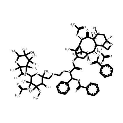 COC1(C)C(O)C(C)(COCO[C@@H](C(=O)OC2C[C@@]3(O)[C@@H](OC(=O)c4ccccc4)[C@@H]4[C@]5(OC(C)=O)CO[C@@H]5C[C@H](O)[C@@]4(C)C(=O)[C@H](OC(C)=O)C(=C2C)C3(C)C)C(NC(=O)c2ccccc2)c2ccccc2)OC(OC2(C)C(C)(C(=O)O)OC(C)C(C)(O)C2(C)O)C1(C)NC(C)=O